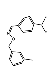 Cc1cccc(CO/N=[C]\c2ccc(C(F)F)cc2)c1